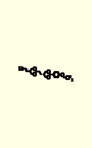 CC/C=C/C1COC(CC[C@H]2CO[C@H](c3ccc(OCC(F)(F)F)cc3)OC2)OC1